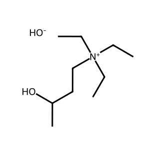 CC[N+](CC)(CC)CCC(C)O.[OH-]